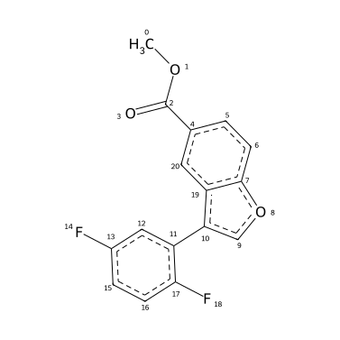 COC(=O)c1ccc2occ(-c3cc(F)ccc3F)c2c1